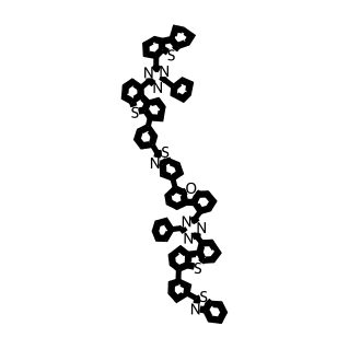 c1ccc(-c2nc(-c3cccc4c3sc3ccccc34)nc(-c3cccc4sc5c(-c6cccc(-c7nc8cc(-c9cccc%10c9oc9cccc(-c%11nc(-c%12ccccc%12)nc(-c%12cccc%13sc%14c(-c%15cccc(-c%16nc%17ccccc%17s%16)c%15)cccc%14c%12%13)n%11)c9%10)ccc8s7)c6)cccc5c34)n2)cc1